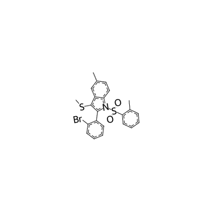 CSc1c(-c2ccccc2Br)n(S(=O)(=O)c2ccccc2C)c2ccc(C)cc12